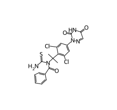 CC(C)(c1c(Cl)cc(-n2ncc(=O)[nH]c2=O)cc1Cl)N(C(=O)c1ccccc1)C(N)=S